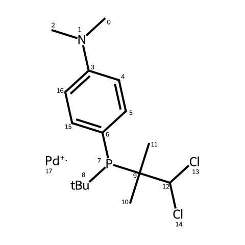 CN(C)c1ccc(P(C(C)(C)C)C(C)(C)C(Cl)Cl)cc1.[Pd+]